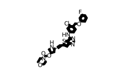 O=C(O[C@H]1CN[C@H](C#Cc2cc3ncnc(Nc4ccc(COc5cccc(F)c5)c(Cl)c4)c3s2)C1)N1CCOCC1